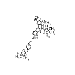 COc1cc(OC)cc(-c2cc3cnc(NCCCN4CCN(CC(=O)OC(C)(C)C)CC4)nc3nc2NC(=O)NC(C)(C)C)c1